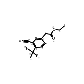 CCOC(=O)Cc1ccc(C(C)(F)F)c(C#N)c1